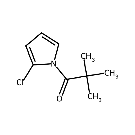 CC(C)(C)C(=O)n1cccc1Cl